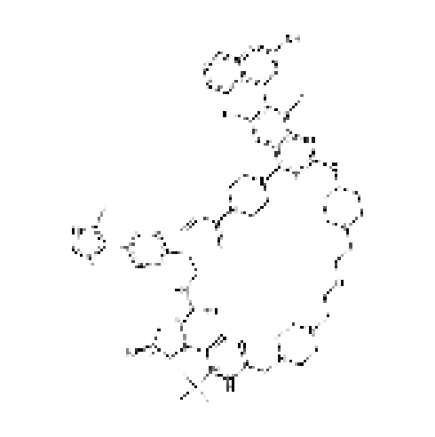 C=CC(=O)N1CCN(c2nc(OC3CCN(CCOCCN4CCN(CC(=O)N[C@H](C(=O)N5C[C@@H](O)C[C@H]5C(=O)NCCc5ccc(-c6scnc6C)cc5)C(C)(C)C)CC4)CC3)nc3c(F)c(-c4cc(O)cc5ccccc45)c(Cl)cc23)CC1